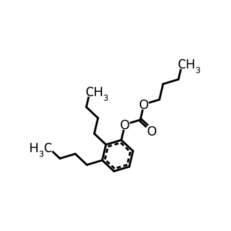 CCCCOC(=O)Oc1cccc(CCCC)c1CCCC